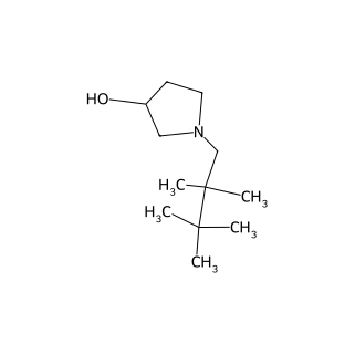 CC(C)(C)C(C)(C)CN1CCC(O)C1